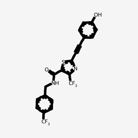 O=C(NCc1ccc(C(F)(F)F)cc1)c1sc(C#Cc2ccc(O)cc2)nc1C(F)(F)F